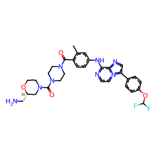 Cc1cc(Nc2nccn3c(-c4ccc(OC(F)F)cc4)cnc23)ccc1C(=O)N1CCN(C(=O)N2CCO[C@@H](CN)C2)CC1